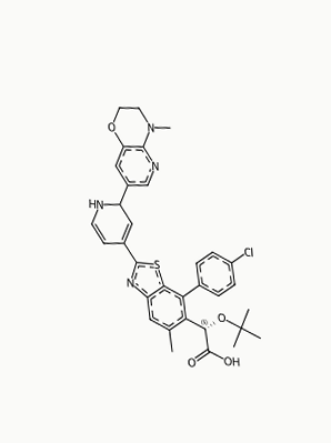 Cc1cc2nc(C3=CC(c4cnc5c(c4)OCCN5C)NC=C3)sc2c(-c2ccc(Cl)cc2)c1[C@H](OC(C)(C)C)C(=O)O